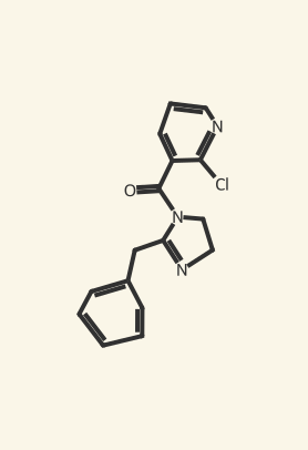 O=C(c1cccnc1Cl)N1CCN=C1Cc1ccccc1